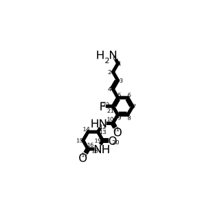 NCC/C=C/c1cccc(C(=O)NC2CCC(=O)NC2=O)c1F